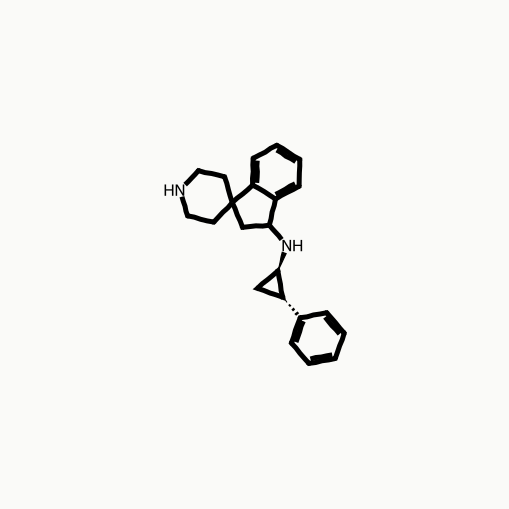 c1ccc([C@@H]2C[C@H]2NC2CC3(CCNCC3)c3ccccc32)cc1